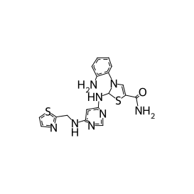 NC(=O)C1=CN(c2ccccc2N)C(Nc2cc(NCc3nccs3)ncn2)S1